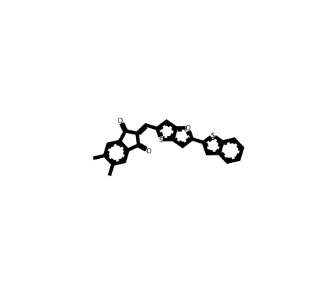 Cc1cc2c(cc1C)C(=O)C(=Cc1cc3oc(-c4cc5ccccc5s4)cc3s1)C2=O